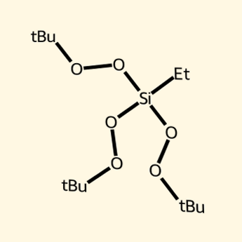 CC[Si](OOC(C)(C)C)(OOC(C)(C)C)OOC(C)(C)C